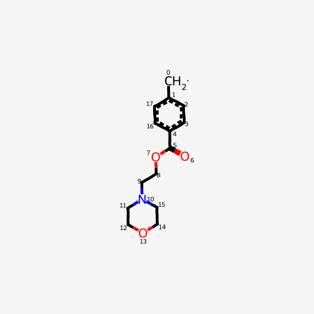 [CH2]c1ccc(C(=O)OCCN2CCOCC2)cc1